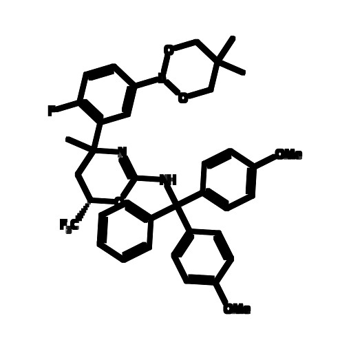 COc1ccc(C(NC2=NC(C)(c3cc(B4OCC(C)(C)CO4)ccc3F)C[C@@H](C(F)(F)F)O2)(c2ccccc2)c2ccc(OC)cc2)cc1